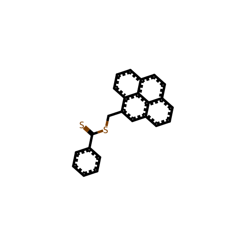 S=C(SCc1cc2cccc3ccc4cccc1c4c32)c1ccccc1